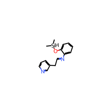 C[SiH](C)Oc1ccccc1N=CCc1cccnc1